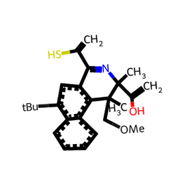 C=C(S)C1=NC(C)(C(=C)O)C(C)(COC)c2c1cc(C(C)(C)C)c1ccccc21